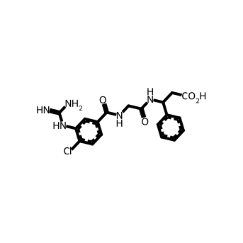 N=C(N)Nc1cc(C(=O)NCC(=O)NC(CC(=O)O)c2ccccc2)ccc1Cl